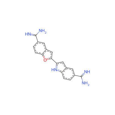 N=C(N)c1ccc2[nH]c(-c3cc4cc(C(=N)N)ccc4o3)cc2c1